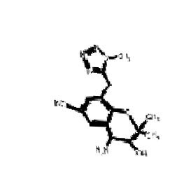 Cn1nnnc1Cc1cc(C#N)cc2c1OC(C)(C)C(O)C2N